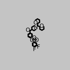 O=C(c1cccc(OS(=O)(=O)c2ccc(F)c(F)c2)c1)C1CCN(C(C2CCCCO2)C2CCCCO2)CC1